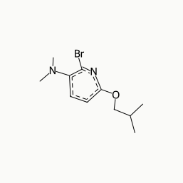 CC(C)COc1ccc(N(C)C)c(Br)n1